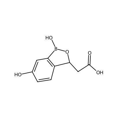 O=C(O)CC1OB(O)c2cc(O)ccc21